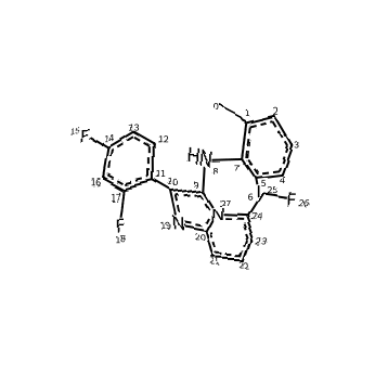 Cc1cccc(I)c1Nc1c(-c2ccc(F)cc2F)nc2cccc(CF)n12